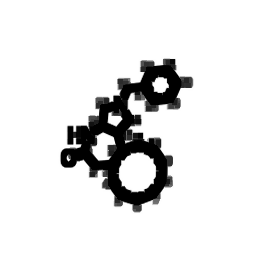 O=C1Cc2ccccccccc2C2CN(Cc3ccccc3)CC2N1